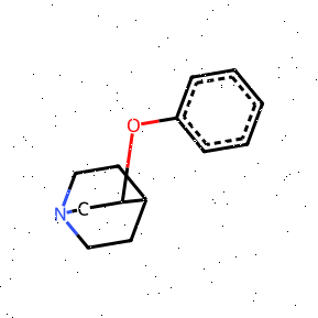 c1ccc(OC2CN3CCC2CC3)cc1